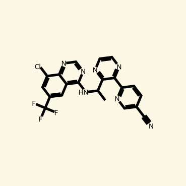 CC(Nc1ncnc2c(Cl)cc(C(F)(F)F)cc12)c1nccnc1-c1ccc(C#N)cn1